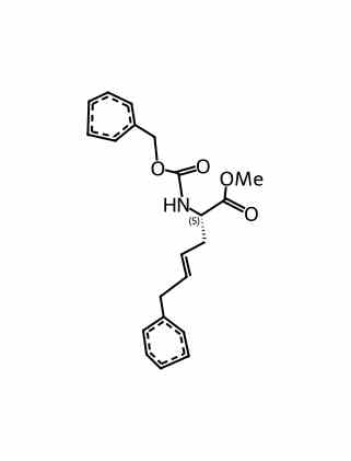 COC(=O)[C@H](CC=CCc1ccccc1)NC(=O)OCc1ccccc1